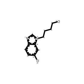 ClCCCCn1cnc2ccc(Cl)cc21